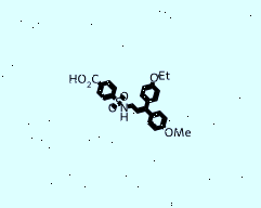 CCOc1ccc(/C(=C\CNS(=O)(=O)c2ccc(C(=O)O)cc2)c2ccc(OC)cc2)cc1